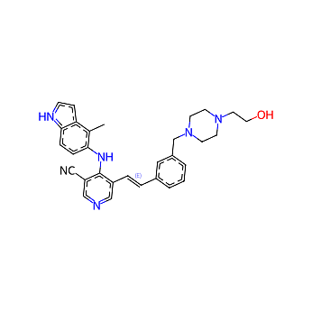 Cc1c(Nc2c(C#N)cncc2/C=C/c2cccc(CN3CCN(CCO)CC3)c2)ccc2[nH]ccc12